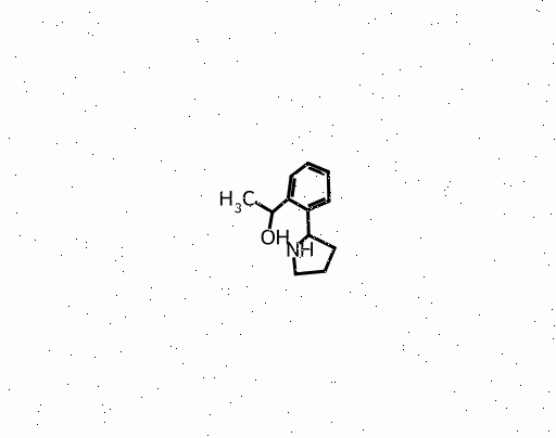 CC(O)c1ccccc1C1CCCN1